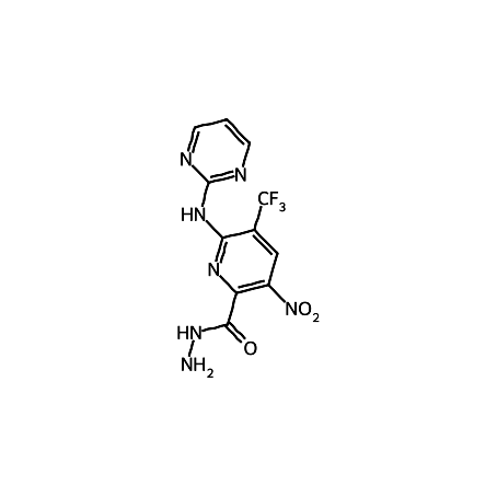 NNC(=O)c1nc(Nc2ncccn2)c(C(F)(F)F)cc1[N+](=O)[O-]